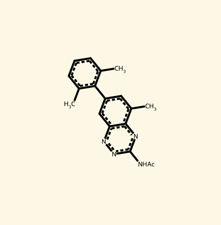 CC(=O)Nc1nnc2cc(-c3c(C)cccc3C)cc(C)c2n1